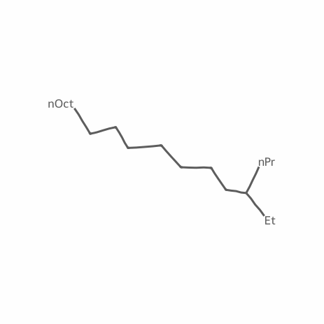 [CH2]CC(CCC)CCCCCCCCCCCCCCC